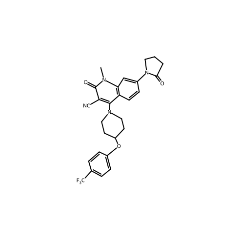 Cn1c(=O)c(C#N)c(N2CCC(Oc3ccc(C(F)(F)F)cc3)CC2)c2ccc(N3CCCC3=O)cc21